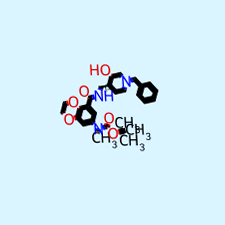 CN(C(=O)OC(C)(C)C)c1cc2c(c(C(=O)NC[C@@H]3CCN(Cc4ccccc4)CC3O)c1)OCCO2